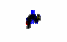 C=C(S/C=C\C)c1cncc2[nH]c(-c3n[nH]c4ccc(-c5cncc(NC(=O)CCCC)c5)cc34)nc12